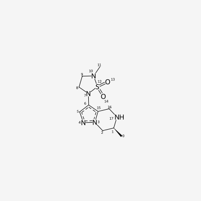 C[C@H]1Cn2ncc(N3CCN(C)S3(=O)=O)c2CN1